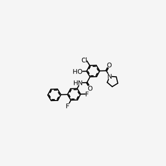 O=C(Nc1cc(-c2ccccc2)c(F)cc1F)c1cc(C(=O)N2CCCC2)cc(Cl)c1O